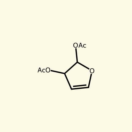 CC(=O)OC1C=COC1OC(C)=O